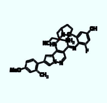 COc1ccc(-c2cc3c(NC4CC5CCC(C4)N5CCC#N)c(/C(N)=N/c4c(F)cc(O)cc4Cl)cnn3c2)c(C)c1